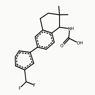 CC1(C)CCc2cc(-c3cccc(C(F)F)c3)ccc2C1NC(=O)O